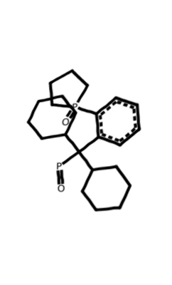 O=PC(c1ccccc1P1(=O)CCCC1)(C1CCCCC1)C1CCCCC1